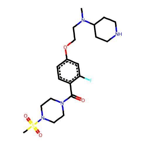 CN(CCOc1ccc(C(=O)N2CCN(S(C)(=O)=O)CC2)c(F)c1)C1CCNCC1